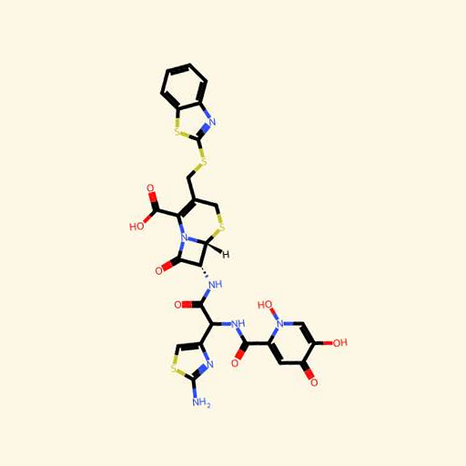 Nc1nc(C(NC(=O)c2cc(=O)c(O)cn2O)C(=O)N[C@@H]2C(=O)N3C(C(=O)O)=C(CSc4nc5ccccc5s4)CS[C@H]23)cs1